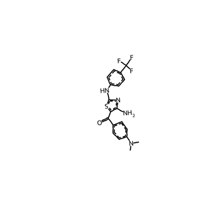 CN(C)c1ccc(C(=O)c2sc(Nc3ccc(C(F)(F)F)cc3)nc2N)cc1